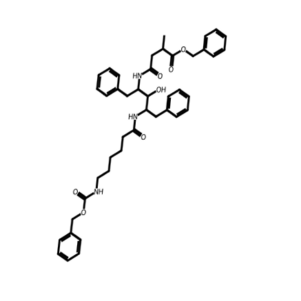 CC(CC(=O)NC(Cc1ccccc1)C(O)C(Cc1ccccc1)NC(=O)CCCCCNC(=O)OCc1ccccc1)C(=O)OCc1ccccc1